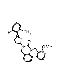 COc1ccccc1CN1C(=O)N(C2CCN(c3c(C)cccc3F)C2)Cc2ccccc21